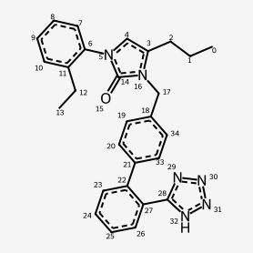 CCCc1cn(-c2ccccc2CC)c(=O)n1Cc1ccc(-c2ccccc2-c2nnn[nH]2)cc1